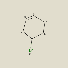 Br[C]1CC=CCC1